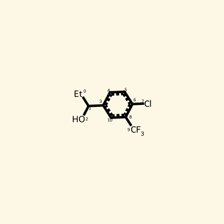 CCC(O)c1ccc(Cl)c(C(F)(F)F)c1